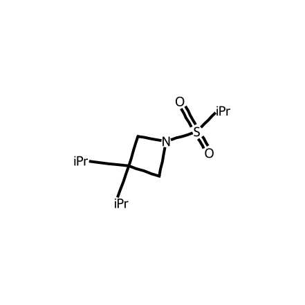 CC(C)C1(C(C)C)CN(S(=O)(=O)C(C)C)C1